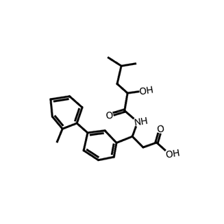 Cc1ccccc1-c1cccc(C(CC(=O)O)NC(=O)C(O)CC(C)C)c1